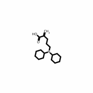 C=C(CCCN(C1CCCCC1)C1CCCCC1)C(=O)O